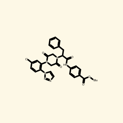 CC(C)(C)OC(=O)c1ccc(NC(=O)C(Cc2ccccc2)N2CC(=O)N(c3cc(Cl)ccc3-n3ccnn3)CC2=O)cc1